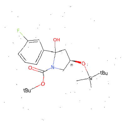 CC(C)(C)OC(=O)N1C[C@H](O[Si](C)(C)C(C)(C)C)CC1(O)c1cccc(F)c1